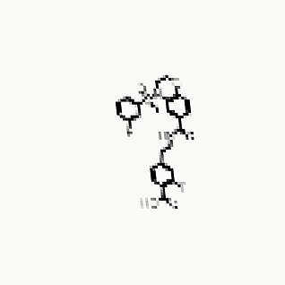 O=C(NCCc1ccc(C(=O)O)c(F)c1)c1ccc2c(c1)N(S(=O)(=O)c1cccc(F)c1)CCO2